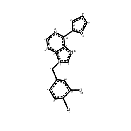 Clc1ccc(Cn2cnc3c(-c4ccco4)ncnc32)cc1Cl